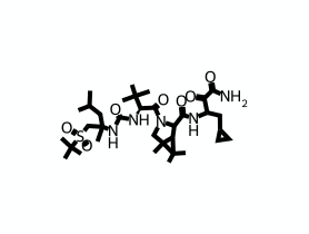 CC(C)CC(C)(CS(=O)(=O)C(C)(C)C)NC(=O)N[C@H](C(=O)N1CC2(C)C(C1C(=O)NC(CC1CC1)C(=O)C(N)=O)C2(C)C)C(C)(C)C